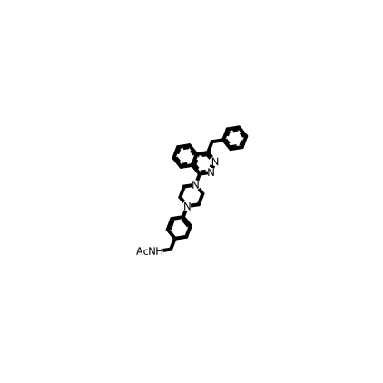 CC(=O)NCC1C=CC(N2CCN(c3nnc(Cc4ccccc4)c4ccccc34)CC2)=CC1